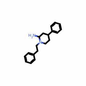 NC1CC(c2ccccc2)CCN1CCc1ccccc1